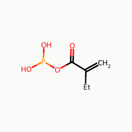 C=C(CC)C(=O)OP(O)O